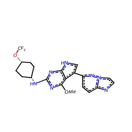 COc1nc(N[C@H]2CC[C@@H](OC(F)(F)F)CC2)nc2[nH]cc(-c3ccc4nccn4n3)c12